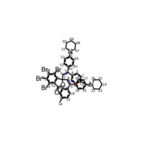 Cc1ccc(/C(=C\C2(/C=C(\c3ccc(C)cc3)c3ccc(N4CCCCC4)cc3)OC(=O)c3c(Br)c(Br)c(Br)c(Br)c32)c2ccc(N3CCCCC3)cc2)cc1